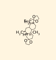 C=C1CC2C3C(F)CC4(OCCO4)[C@@]3(C)CCC2[C@@]2(C)CCC3(C[C@H]12)OCCO3